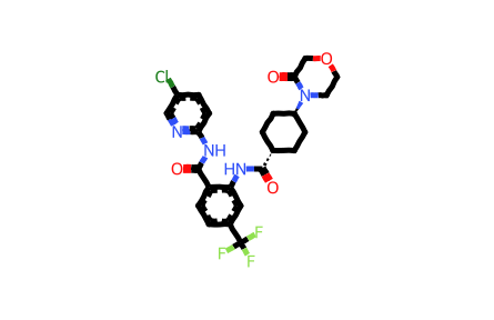 O=C(Nc1ccc(Cl)cn1)c1ccc(C(F)(F)F)cc1NC(=O)[C@H]1CC[C@H](N2CCOCC2=O)CC1